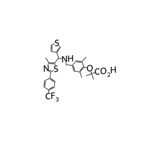 Cc1cc(CNC(c2ccsc2)c2sc(-c3ccc(C(F)(F)F)cc3)nc2C)cc(C)c1OC(C)(C)C(=O)O